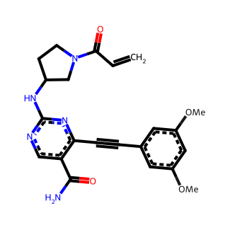 C=CC(=O)N1CCC(Nc2ncc(C(N)=O)c(C#Cc3cc(OC)cc(OC)c3)n2)C1